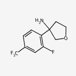 NC1(c2ccc(C(F)(F)F)cc2F)CCOC1